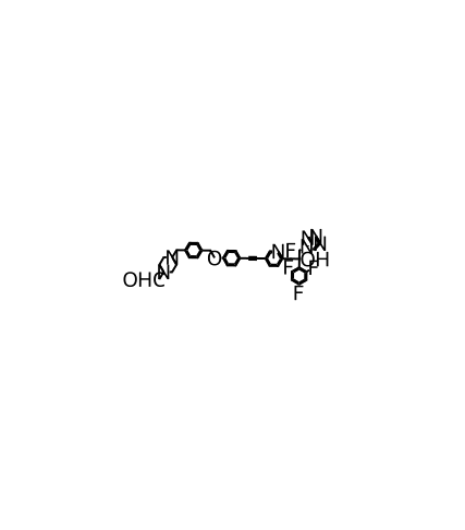 O=CN1CCN(Cc2ccc(COc3ccc(C#Cc4ccc(C(F)(F)C(O)(Cn5cnnn5)c5ccc(F)cc5F)nc4)cc3)cc2)CC1